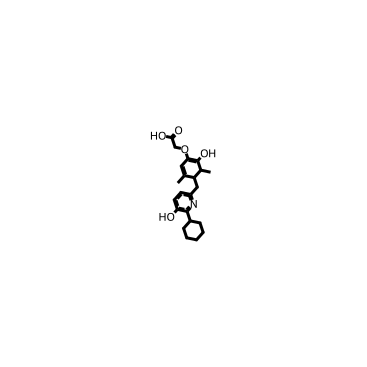 CC1=CC(OCC(=O)O)=C(O)C(C)C1Cc1ccc(O)c(C2CCCCC2)n1